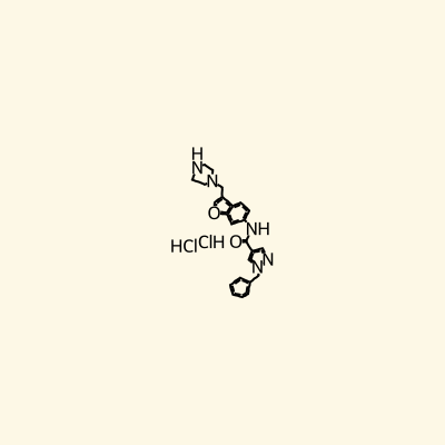 Cl.Cl.O=C(Nc1ccc2c(CN3CCNCC3)coc2c1)c1cnn(Cc2ccccc2)c1